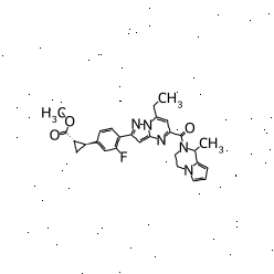 CCc1cc(C(=O)N2CCn3cccc3C2C)nc2cc(-c3ccc([C@H]4C[C@@H]4C(=O)OC)cc3F)nn12